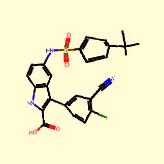 CC(C)(C)c1ccc(S(=O)(=O)Nc2ccc3[nH]c(C(=O)O)c(-c4ccc(F)c(C#N)c4)c3c2)cc1